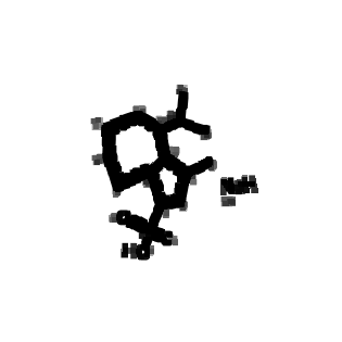 Cc1cc(S(=O)(=O)O)c2ccccc(C(C)C)c1-2.[NaH]